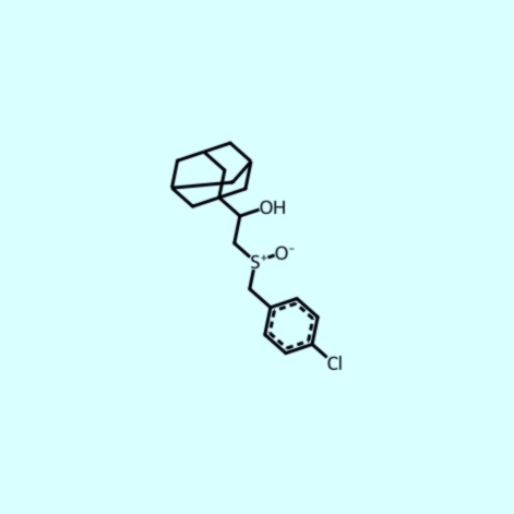 [O-][S+](Cc1ccc(Cl)cc1)CC(O)C12CC3CC(CC(C3)C1)C2